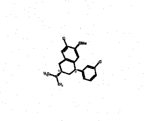 COc1cc2c(cc1Cl)C[C@H](N(C)C)C[C@@H]2c1cccc(Cl)c1